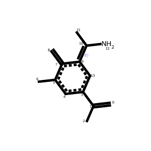 C=C(C)c1cc(C)c(=C)/c(=C(\C)N)c1